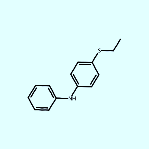 CCSc1ccc(Nc2ccccc2)cc1